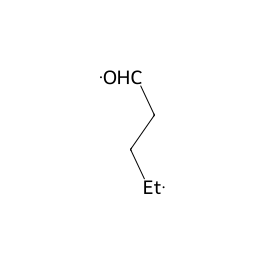 C[CH]CC[C]=O